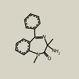 CN1C(=O)C(C)(N)N=C(c2ccccc2)c2ccccc21